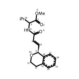 COC(=O)C(NC(=O)/C=C/[C@@H]1OCCc2ccccc21)C(C)C